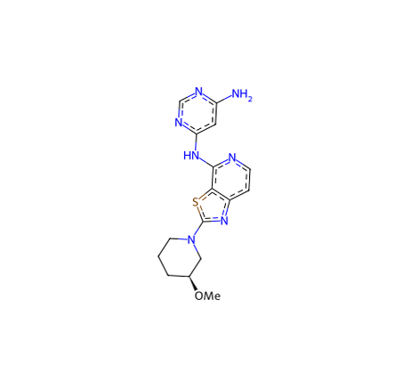 CO[C@H]1CCCN(c2nc3ccnc(Nc4cc(N)ncn4)c3s2)C1